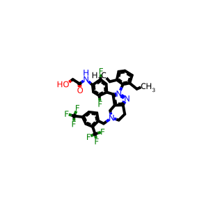 CCc1cccc(CC)c1-n1nc2c(c1-c1cc(F)c(NC(=O)CO)cc1F)CN(Cc1ccc(C(F)(F)F)cc1C(F)(F)F)CC2